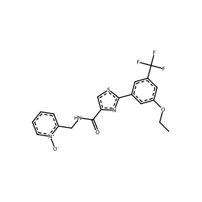 CCOc1cc(-c2nc(C(=O)NCc3cccc[n+]3[O-])cs2)cc(C(F)(F)F)c1